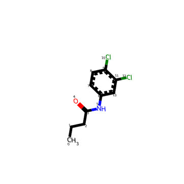 CCCC(=O)Nc1ccc(Cl)c(Cl)c1